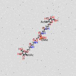 COP(=O)(O)OC(COC(=O)NCCC(=O)NCCCO[C@@H]1O[C@H](CO)[C@H](O)[C@H](O)[C@H]1NC(C)=O)COC(=O)NCCC(=O)NCCCO[C@@H]1O[C@H](CO)[C@H](O)[C@H](O)[C@H]1NC(C)=O